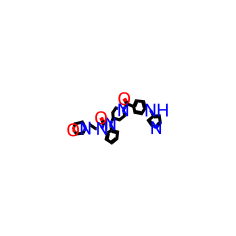 O=C(c1ccc(Nc2ccncc2)cc1)N1CCC(n2c(=O)n(CCN3CCOCC3)c3ccccc32)CC1